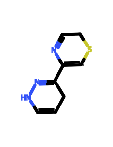 [C]1=C(C2=NNC=CC2)N=CCS1